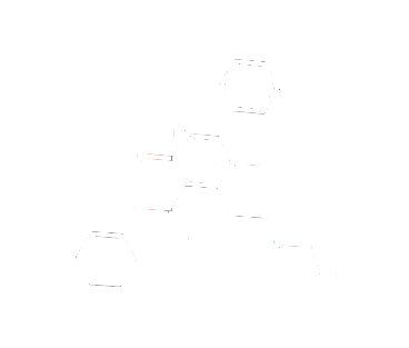 CON=CCc1c(C(=O)OC2=CCCCC2)c(=O)[nH]c(-c2ccccc2)[n+]1[O-]